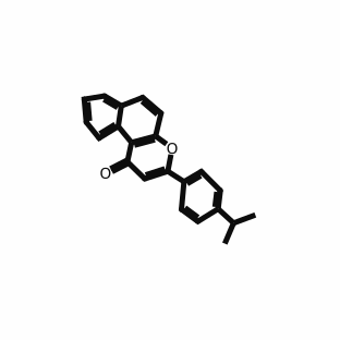 CC(C)c1ccc(-c2cc(=O)c3c(ccc4ccccc43)o2)cc1